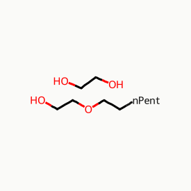 CCCCCCCOCCO.OCCO